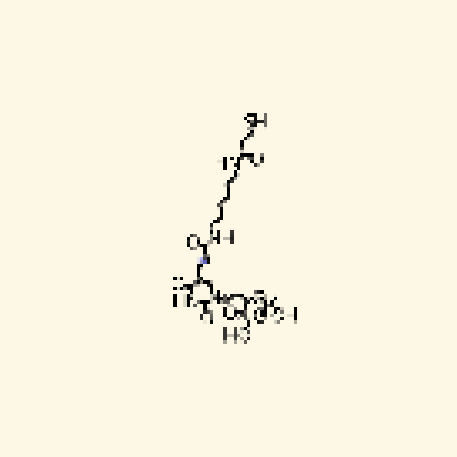 CP(=O)(O)OC1C[C@H](n2cc(/C=C/C(=O)NCCCCCCNC(=O)CCS)c(=O)[nH]c2=O)O[C@@H]1CO